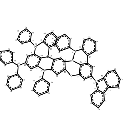 c1ccc(N2B3c4cc5c(cc4Sc4cc(-n6c7ccccc7c7ccccc76)cc(c43)-c3ccccc32)N(c2ccccc2)c2cc(N(c3ccccc3)c3ccccc3)cc3c2B5c2ccccc2N3c2ccccc2)cc1